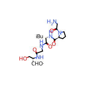 CC[C@H](C)[C@H](NC(=O)[C@@H]1CCCN1C(=O)CN)C(=O)NCC(=O)N[C@H]([C]=O)CO